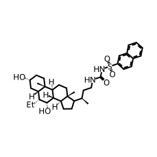 CC[C@H]1[C@@H](O)[C@@H]2[C@H](CC[C@]3(C)C([C@H](C)CCNC(=O)NS(=O)(=O)c4ccc5ccccc5c4)CC[C@@H]23)[C@@]2(C)CC[C@@H](O)C[C@@H]12